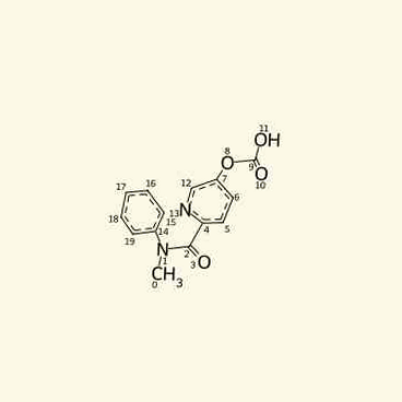 CN(C(=O)c1ccc(OC(=O)O)cn1)c1ccccc1